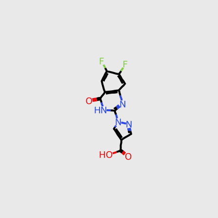 O=C(O)c1cnn(-c2nc3cc(F)c(F)cc3c(=O)[nH]2)c1